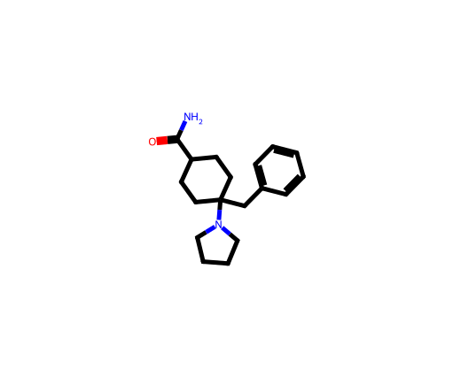 NC(=O)C1CCC(Cc2ccccc2)(N2CCCC2)CC1